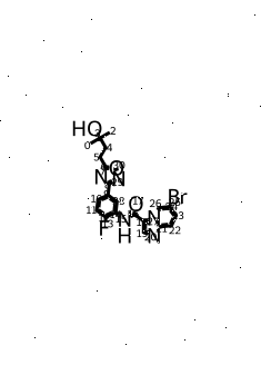 CC(C)(O)CCc1nc(-c2ccc(F)c(NC(=O)c3cnc4ccc(Br)cn34)c2)no1